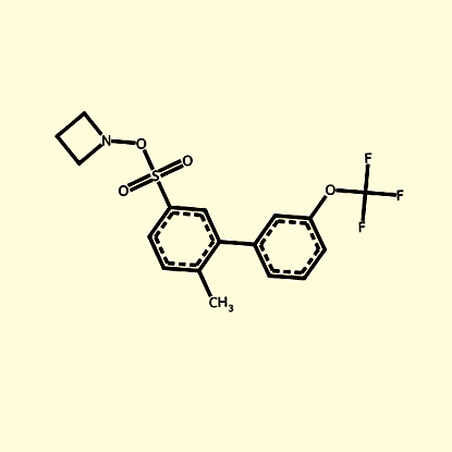 Cc1ccc(S(=O)(=O)ON2CCC2)cc1-c1cccc(OC(F)(F)F)c1